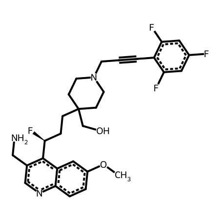 COc1ccc2ncc(CN)c([C@@H](F)CCC3(CO)CCN(CC#Cc4c(F)cc(F)cc4F)CC3)c2c1